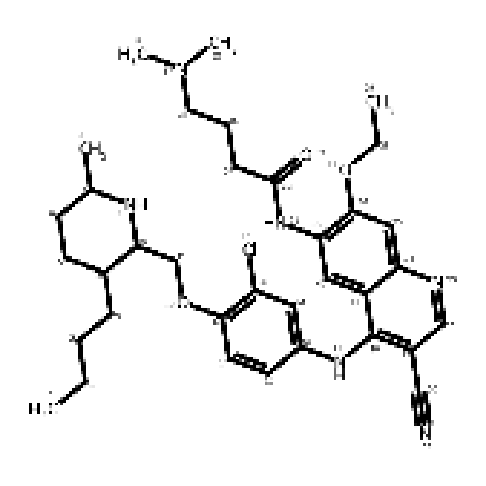 CCCCC1CCC(C)NC1COc1ccc(Nc2c(C#N)cnc3cc(OCC)c(NC(=O)CCCN(C)C)cc23)cc1Cl